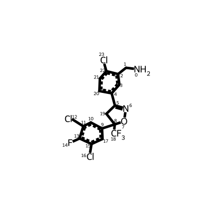 NCc1cc(C2=NOC(c3cc(Cl)c(F)c(Cl)c3)(C(F)(F)F)C2)ccc1Cl